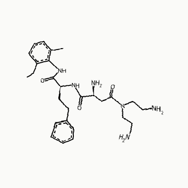 CCc1cccc(C)c1NC(=O)[C@H](CCc1ccccc1)NC(=O)[C@@H](N)CC(=O)N(CCN)CCN